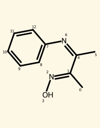 CC(=NO)C(C)=Nc1ccccc1